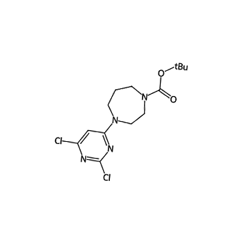 CC(C)(C)OC(=O)N1CCCN(c2cc(Cl)nc(Cl)n2)CC1